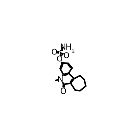 Cn1c(=O)c2c(c3ccc(OS(N)(=O)=O)cc31)CCCCC2